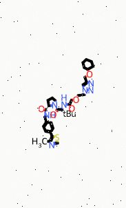 Cc1ncsc1-c1ccc(CNC(=O)[C@@H]2CCCN2C(=O)C(NC(=O)COCCn2cc(COC3CCCCC3)nn2)C(C)(C)C)cc1